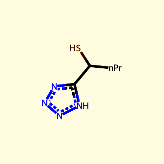 [CH2]CCC(S)c1nnn[nH]1